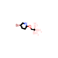 BC(B)(B)COc1ccc(Br)cn1